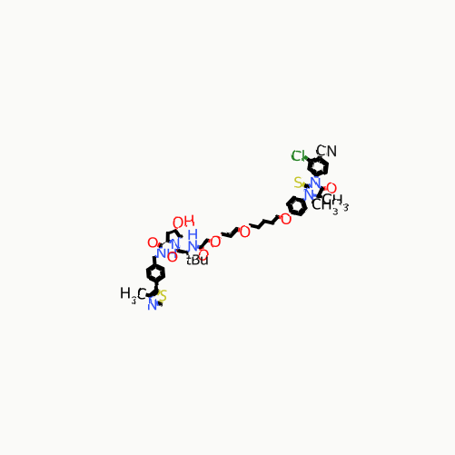 Cc1ncsc1-c1ccc(CNC(=O)[C@@H]2C[C@@H](O)CN2C(=O)[C@@H](NC(=O)COCCCOCCCCCOc2ccc(N3C(=S)N(c4ccc(C#N)c(Cl)c4)C(=O)C3(C)C)cc2)C(C)(C)C)cc1